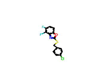 Fc1ccc2oc(SCc3ccc(Cl)cc3)nc2c1F